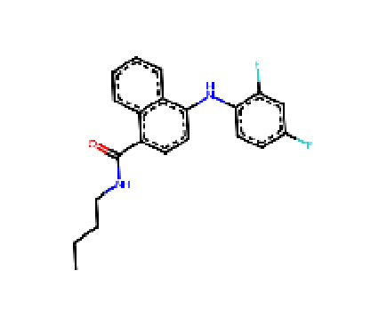 CCCCNC(=O)c1ccc(Nc2ccc(F)cc2F)c2ccccc12